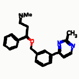 CNCCC(OCc1cccc(-c2ccnc(C)n2)c1)c1ccccc1